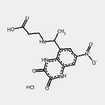 CC(NCCC(=O)O)c1cc([N+](=O)[O-])cc2[nH]c(=O)c(=O)[nH]c12.Cl